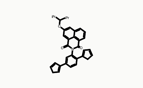 CC(C)C(Oc1cc2c3c(cccc3c1)C(=O)N(c1cc(C3=CCC=C3)ccc1C1=CC=CC1)C2=O)C(C)C